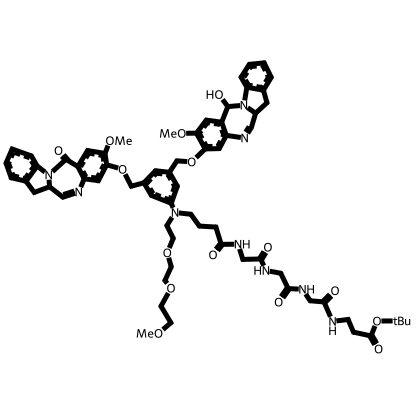 COCCOCCOCCN(CCCC(=O)NCC(=O)NCC(=O)NCC(=O)NCCC(=O)OC(C)(C)C)c1cc(COc2cc3c(cc2OC)C(=O)N2c4ccccc4CC2C=N3)cc(COc2cc3c(cc2OC)C(O)N2c4ccccc4CC2C=N3)c1